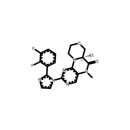 CC[C@@]12COCCN1c1nc(-n3ccnc3-c3cccc(F)c3F)ncc1N(C)C2=O